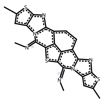 C/N=c1/c2sc3/c(=N/C)n4c5cc(C)sc5nc4c4ccc(c2c34)c2nc3sc(C)cc3n12